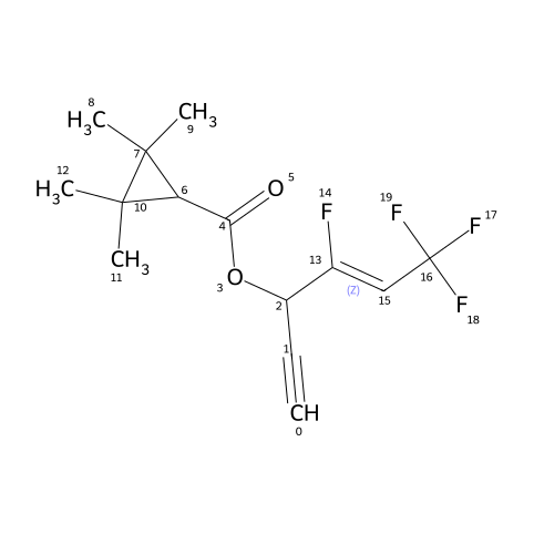 C#CC(OC(=O)C1C(C)(C)C1(C)C)/C(F)=C/C(F)(F)F